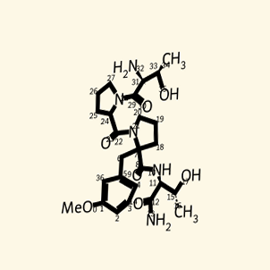 COc1cccc(CC2(C(=O)N[C@H](C(N)=O)[C@@H](C)O)CCCN2C(=O)C2CCCN2C(=O)[C@@H](N)[C@@H](C)O)c1